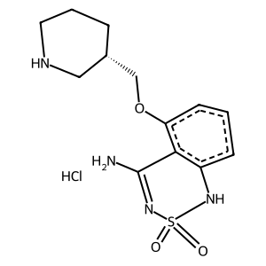 Cl.NC1=NS(=O)(=O)Nc2cccc(OC[C@H]3CCCNC3)c21